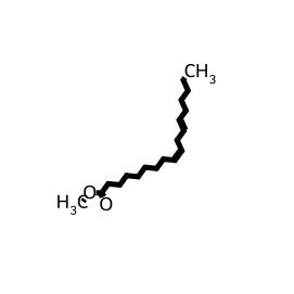 CCCCCC=CC/C=C\CCCCCCCC(=O)OC